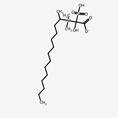 CCCCCCCCCCCCC(C)[N+](C)(C)C(O)(C(=O)[O-])S(=O)(=O)O